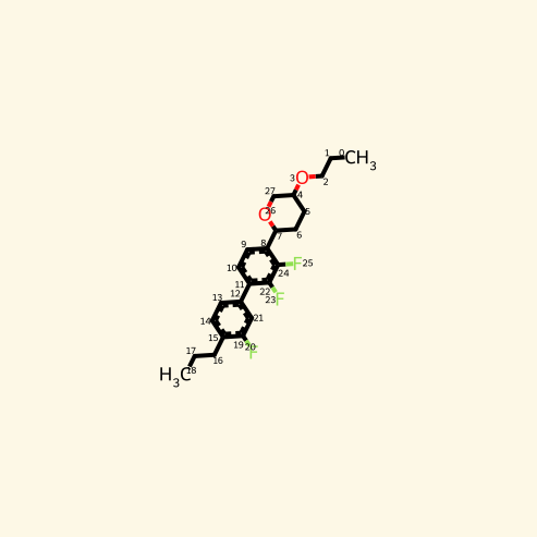 CCCOC1CCC(c2ccc(-c3ccc(CCC)c(F)c3)c(F)c2F)OC1